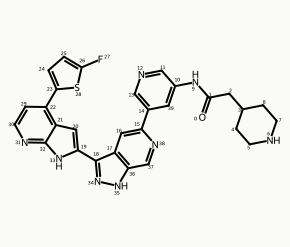 O=C(CC1CCNCC1)Nc1cncc(-c2cc3c(-c4cc5c(-c6ccc(F)s6)ccnc5[nH]4)n[nH]c3cn2)c1